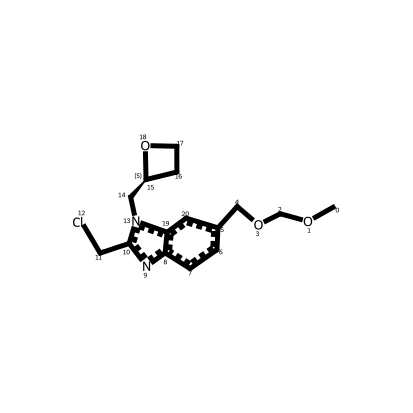 COCOCc1ccc2nc(CCl)n(C[C@@H]3CCO3)c2c1